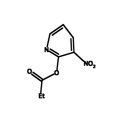 CCC(=O)Oc1ncccc1[N+](=O)[O-]